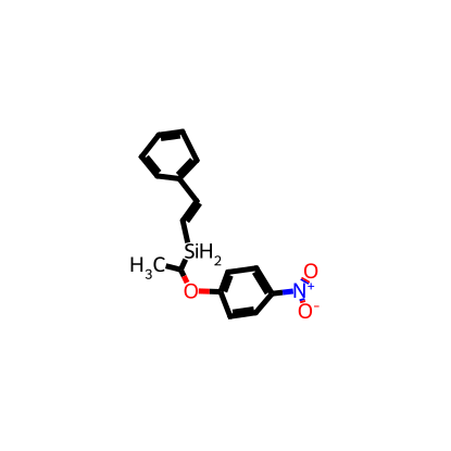 CC(Oc1ccc([N+](=O)[O-])cc1)[SiH2]C=Cc1ccccc1